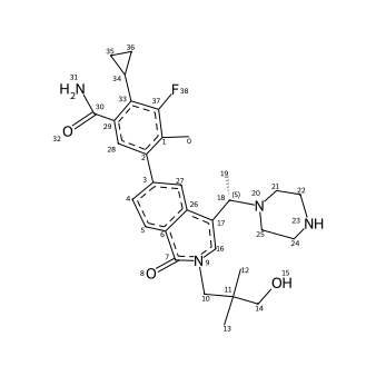 Cc1c(-c2ccc3c(=O)n(CC(C)(C)CO)cc([C@H](C)N4CCNCC4)c3c2)cc(C(N)=O)c(C2CC2)c1F